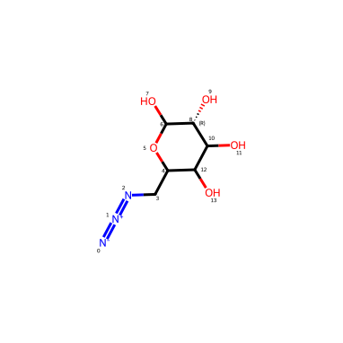 [N-]=[N+]=NCC1OC(O)[C@H](O)C(O)C1O